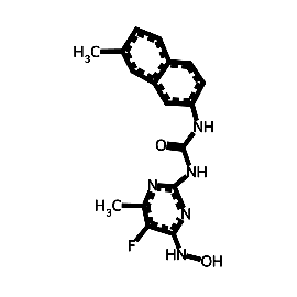 Cc1ccc2ccc(NC(=O)Nc3nc(C)c(F)c(NO)n3)cc2c1